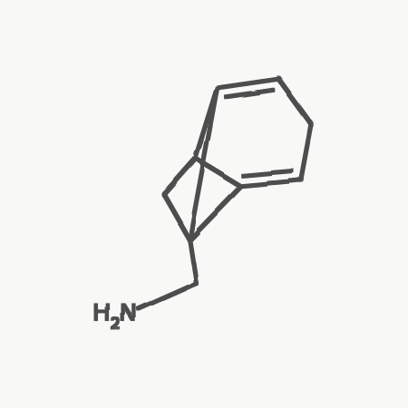 NCC12CC3C1=CCC=C32